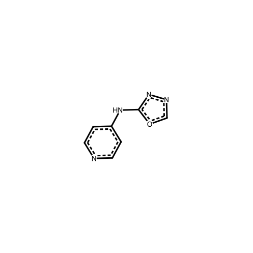 c1cc(Nc2nnco2)ccn1